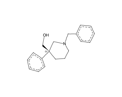 OC[C@]1(c2ccccc2)CCCN(Cc2ccccc2)C1